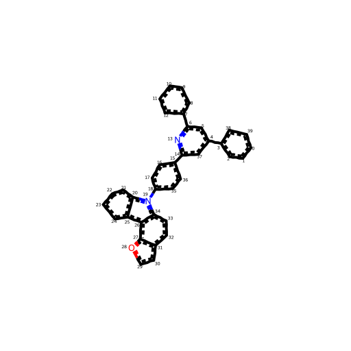 c1ccc(-c2cc(-c3ccccc3)nc(-c3ccc(-n4c5ccccc5c5c6occc6ccc54)cc3)c2)cc1